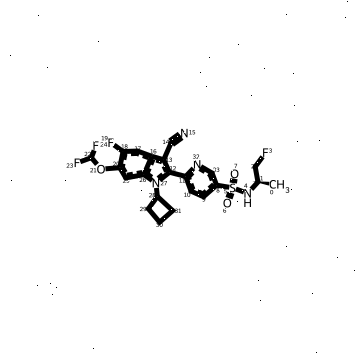 C[C@H](CF)NS(=O)(=O)c1ccc(-c2c(C#N)c3cc(F)c(OC(F)F)cc3n2C2CCC2)nc1